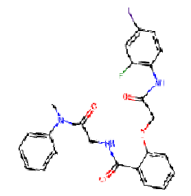 CN(C(=O)CNC(=O)c1ccccc1OCC(=O)Nc1ccc(I)cc1F)c1ccccc1